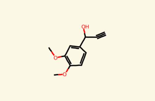 C#CC(O)c1ccc(OC)c(OC)c1